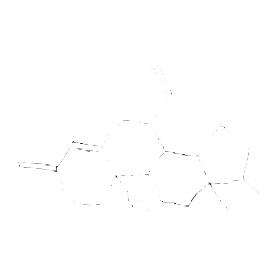 C=CC1CC2=CC(=O)CCC2(N)C2CCC3(C)C(C)CCC3C12